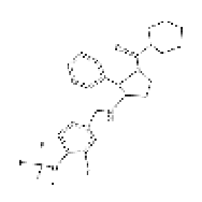 O=C(C1CCCCC1)N1CCC(NCc2ccc(OC(F)(F)F)c(F)c2)C1c1ccccc1